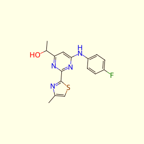 Cc1csc(-c2nc(Nc3ccc(F)cc3)cc(C(C)O)n2)n1